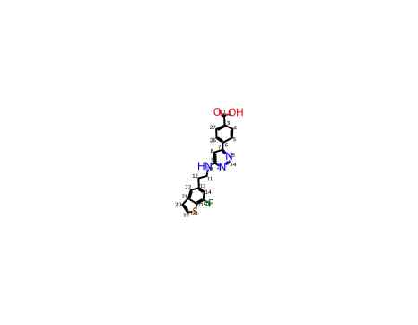 O=C(O)c1ccc(-c2cc(NCCc3cc(F)c4sccc4c3)ncn2)cc1